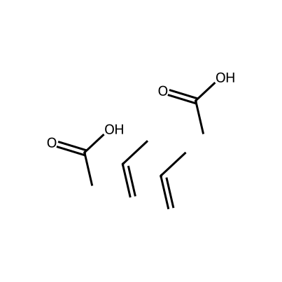 C=CC.C=CC.CC(=O)O.CC(=O)O